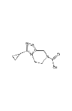 O=C(O)N1CCn2c(cnc2C2CC2)C1